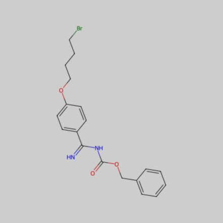 N=C(NC(=O)OCc1ccccc1)c1ccc(OCCCCBr)cc1